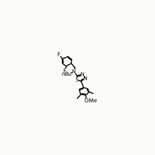 CCCCN(CC1C=CC(F)=CC1F)c1nnc(-c2cc(C)c(OC)c(C)c2)s1